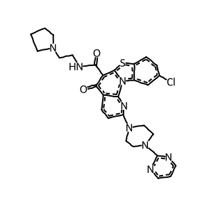 O=C(NCCN1CCCC1)c1c(=O)c2ccc(N3CCN(c4ncccn4)CC3)nc2n2c1sc1ccc(Cl)cc12